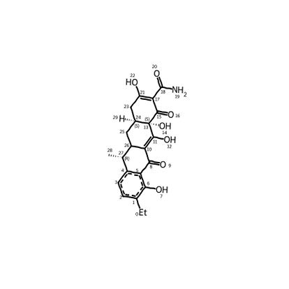 CCc1ccc2c(c1O)C(=O)C1=C(O)[C@]3(O)C(=O)C(C(N)=O)=C(O)C[C@@H]3CC1[C@H]2C